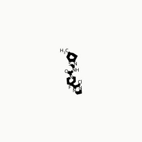 Cc1ccc2nc(NC(=O)N3CCC(F)(c4nccnc4Cl)CC3)sc2c1